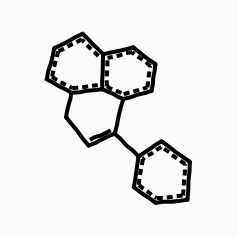 C1=C(c2ccccc2)c2cccc3cccc(c23)C1